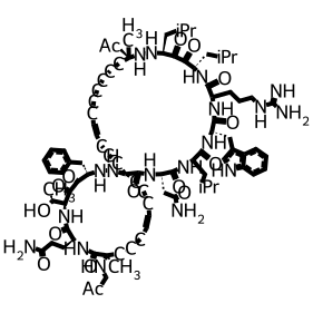 CC(=O)CN[C@]1(C)CCC/C=C\CCC[C@@]2(CCCC=CCCCCCC[C@@](C)(C(C)=O)NN[C@@H](CC(C)C)C(=O)C(=O)[C@H](CC(C)C)NC(=O)C(CCCNC(=N)N)NC(=O)[C@H](Cc3c[nH]c4ccccc34)NC(=O)C(CC(C)C)NC(=O)[C@H](CC(N)=O)NC2=O)NN[C@@H](Cc2ccccc2)C(=O)C(=O)[C@H]([C@@H](C)O)NC(=O)[C@H](CCC(N)=O)NC1=O